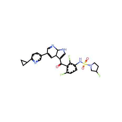 O=C(C1=CNC2N=CC(c3ccc(C4CC4)nc3)=CC12)c1c(F)ccc(NS(=O)(=O)N2CCC(F)C2)c1F